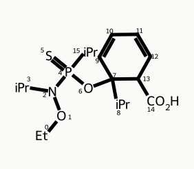 CCON(C(C)C)P(=S)(OC1(C(C)C)C=CC=CC1C(=O)O)C(C)C